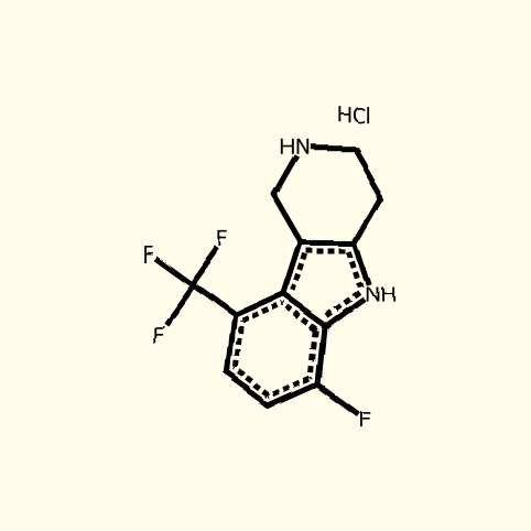 Cl.Fc1ccc(C(F)(F)F)c2c3c([nH]c12)CCNC3